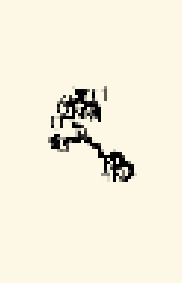 Cn1ncc(Cl)c1C1(C(=O)N[C@@H](CCN(CCCCc2ccc3c(n2)NCCC3)CCOC(C)(C)C)C(=O)O)CC1